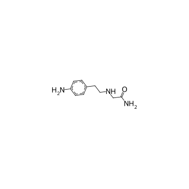 NC(=O)CNCCc1ccc(N)cc1